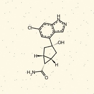 NC(=O)[C@@H]1[C@@H]2C[C@@](O)(c3cc(Cl)cc4[nH]ncc34)C[C@@H]21